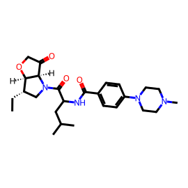 CC[C@H]1CN(C(=O)C(CC(C)C)NC(=O)c2ccc(N3CCN(C)CC3)cc2)[C@@H]2C(=O)CO[C@H]12